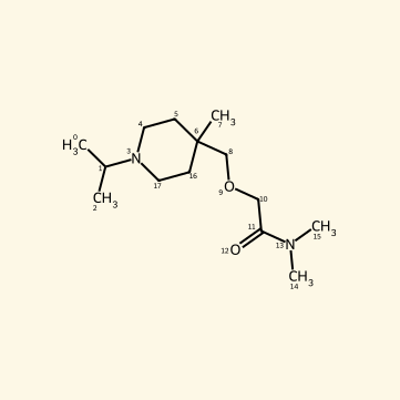 CC(C)N1CCC(C)(COCC(=O)N(C)C)CC1